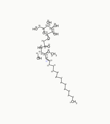 CCCCCCCCCCCCC/C=C/[C@H](OC)[C@H](CO)NC(=O)CO[C@H]1OC(CO)[C@H](O)[C@@H](O)C1O